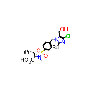 CCCCc1nc(Cl)c(CO)n1Cc1ccc(S(=O)(=O)N(C)[C@H](CC(C)C)C(=O)O)cc1